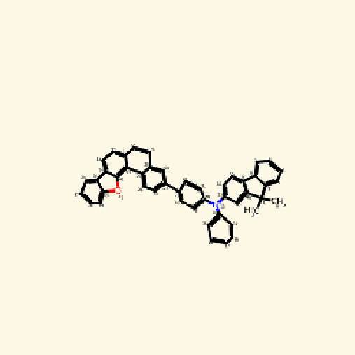 CC1(C)c2ccccc2-c2ccc(N(c3ccccc3)c3ccc(-c4ccc5c(ccc6ccc7c8ccccc8oc7c65)c4)cc3)cc21